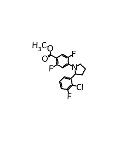 COC(=O)c1cc(F)c(N2CCCC2c2cccc(F)c2Cl)cc1F